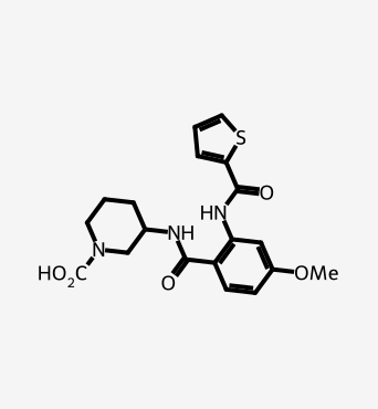 COc1ccc(C(=O)NC2CCCN(C(=O)O)C2)c(NC(=O)c2cccs2)c1